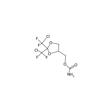 NC(=O)OCC1COC(C(F)(F)Cl)(C(F)(F)Cl)O1